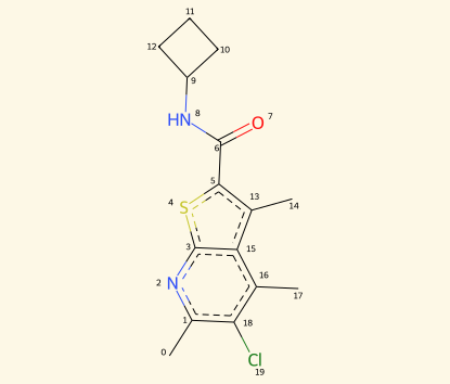 Cc1nc2sc(C(=O)NC3CCC3)c(C)c2c(C)c1Cl